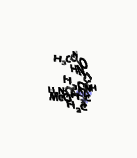 C=C/C=C/C(=N\C(=C/C)N[C@@H](C)c1cccc(NC(=O)c2cncc(C)c2)c1)c1ccc(N)c(OC)c1